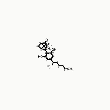 CCCCCC(C)c1cc(O)c(C2CC(=O)C3CC2C3(C)C)c(O)c1